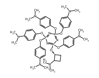 CN(C)c1ccc(OP2(Oc3ccc(N(C)C)cc3)=NP(Oc3ccc(N(C)C)cc3)(Oc3ccc(N(C)C)cc3)=NP(Oc3ccc(N(C)C)cc3)(O[C@H]3CCC3N(C)C)=N2)cc1